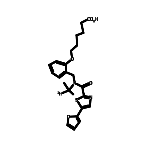 [2H]C(C)(C)N(Cc1ccccc1OCCCCCC(=O)O)C(=O)c1ncc(-c2ccco2)s1